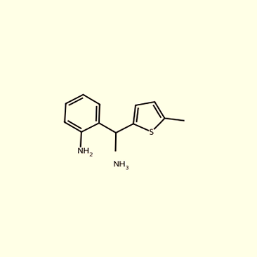 Cc1ccc(C(C)c2ccccc2N)s1.N